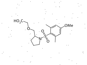 COc1cc(C)c(S(=O)(=O)N2CCCC2COCC(=O)O)c(C)c1